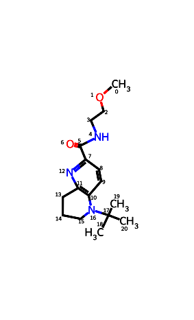 COCCNC(=O)c1ccc2c(n1)CCCN2C(C)(C)C